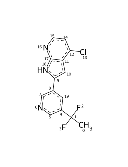 CC(F)(F)c1cncc(-c2cc3c(Cl)ccnc3[nH]2)c1